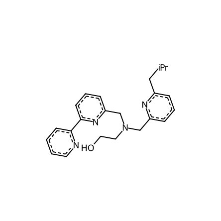 CC(C)Cc1cccc(CN(CCO)Cc2cccc(-c3ccccn3)n2)n1